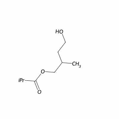 CC(CCO)COC(=O)C(C)C